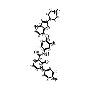 CN1CCC(c2cc3nccc(Oc4ccc(NC(=O)c5nccn(-c6ccc(F)cc6)c5=O)cc4F)c3s2)CC1